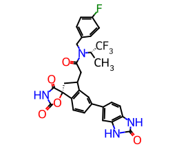 C[C@H](N(Cc1ccc(F)cc1)C(=O)CC1C[C@@]2(OC(=O)NC2=O)c2ccc(-c3ccc4[nH]c(=O)[nH]c4c3)cc21)C(F)(F)F